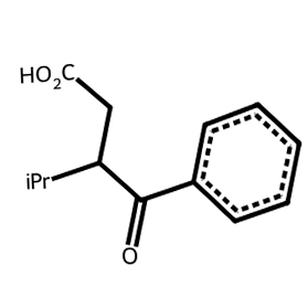 CC(C)C(CC(=O)O)C(=O)c1ccccc1